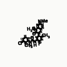 CNc1ncc2cc(-c3cc(NC(=O)Nc4cccc(Cl)c4C)c(F)cc3C)c(=O)n(C)c2n1